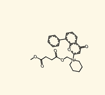 COC(=O)CCC(=O)OC[N+]1(c2cc(=O)c3cccc(-c4ccccc4)c3o2)CCCCC1